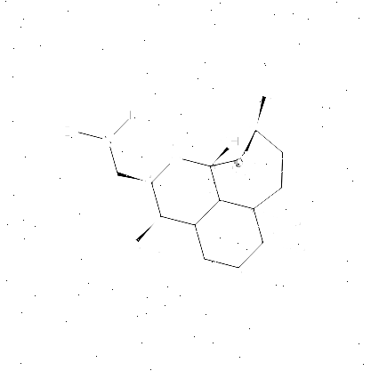 CCN(CC)C[C@H]1O[C@@H]2O[C@@]3(C)CC[C@H]4[C@H](C)CC[C@@H]([C@H]1C)[C@@]24OO3